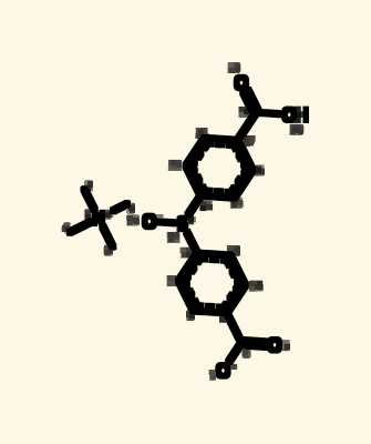 C[N+](C)(C)C.O=C([O-])c1ccc([S+]([O-])c2ccc(C(=O)O)cc2)cc1